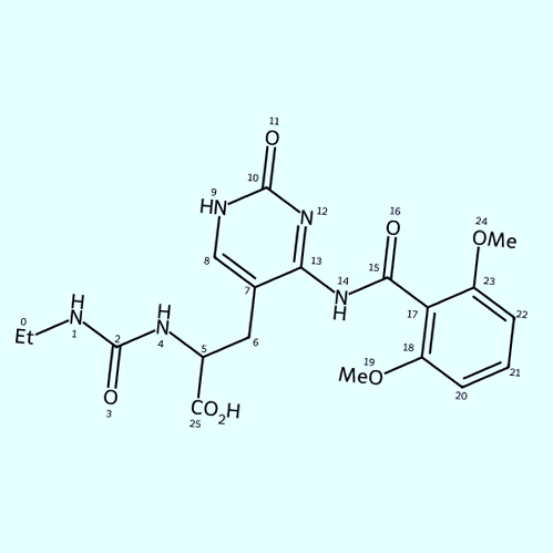 CCNC(=O)NC(Cc1c[nH]c(=O)nc1NC(=O)c1c(OC)cccc1OC)C(=O)O